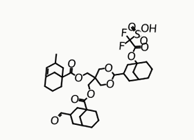 CC1C=C2CCCC(C(=O)OCC3(COC(=O)C45CCCC(CC(C=O)C4)C5)COC(C4CC5CCCC(OC(=O)C(F)(F)S(=O)(=O)O)(C5)C4)OC3)(C2)C1